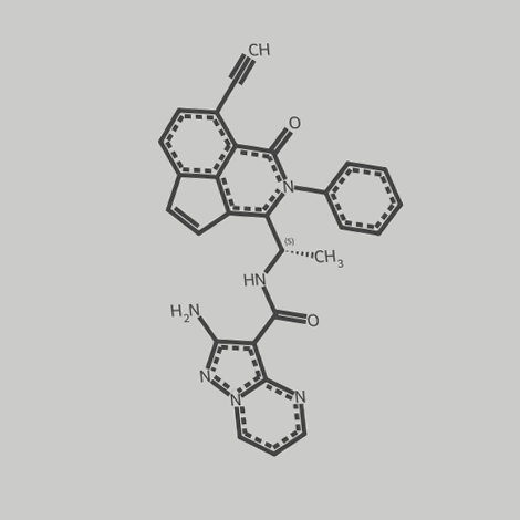 C#Cc1ccc2c3c(c([C@H](C)NC(=O)c4c(N)nn5cccnc45)n(-c4ccccc4)c(=O)c13)C=C2